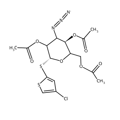 CC(=O)OCC1O[C@H](Sc2cc(Cl)cs2)C(OC(C)=O)C(N=[N+]=[N-])[C@H]1OC(C)=O